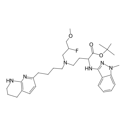 COCC(F)CN(CCCCc1ccc2c(n1)NCCC2)CCC(Nc1nn(C)c2ccccc12)C(=O)OC(C)(C)C